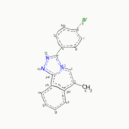 Cc1cn2c(-c3ccc(Br)cc3)nnc2c2ccccc12